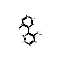 Cc1cnn[c]c1-c1nnccc1C(F)(F)F